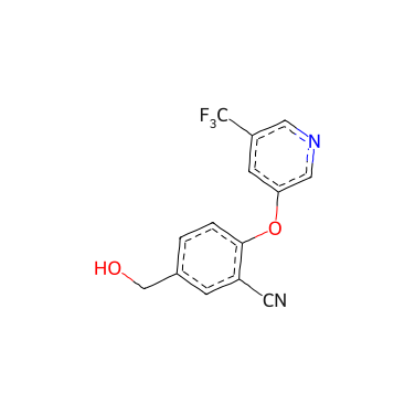 N#Cc1cc(CO)ccc1Oc1cncc(C(F)(F)F)c1